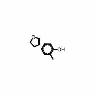 C1=COCC1.Cc1ccccc1O